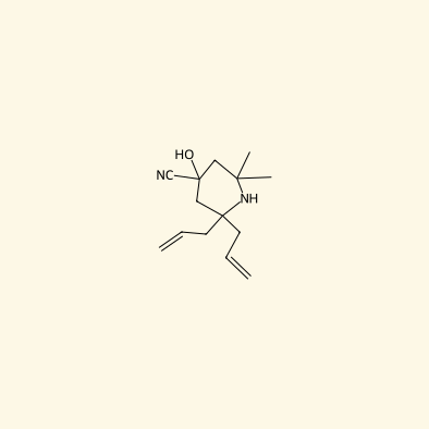 C=CCC1(CC=C)CC(O)(C#N)CC(C)(C)N1